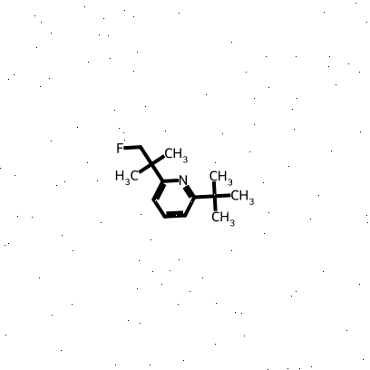 CC(C)(C)c1cccc(C(C)(C)CF)n1